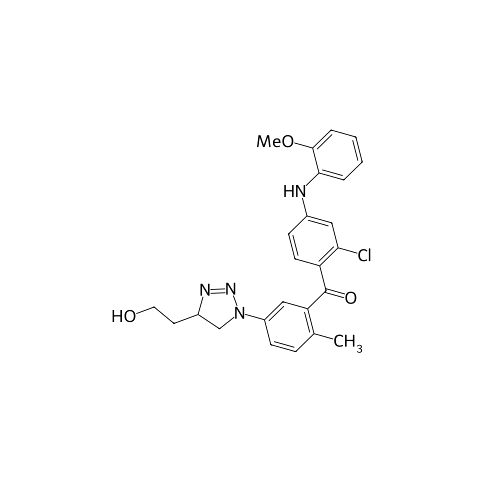 COc1ccccc1Nc1ccc(C(=O)c2cc(N3CC(CCO)N=N3)ccc2C)c(Cl)c1